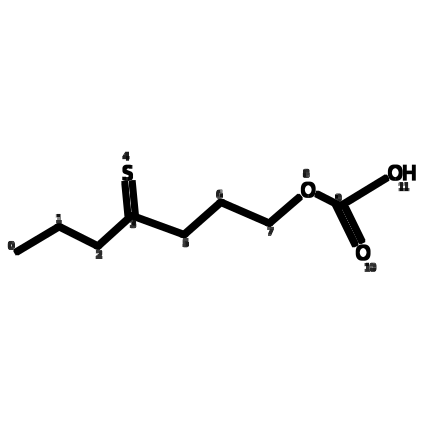 CCCC(=S)CCCOC(=O)O